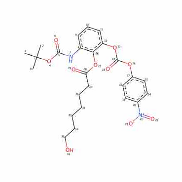 CC(C)(C)OC(=O)Nc1cccc(OC(=O)Oc2ccc([N+](=O)[O-])cc2)c1OC(=O)CCCCCCO